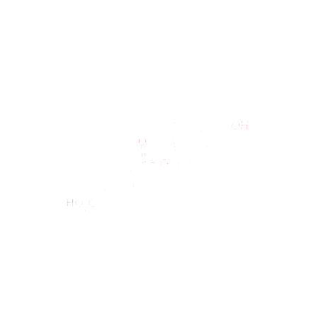 C=C/C=C(\C=C/CCO)OC(=O)C1CCC(C(=O)O)CC1